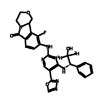 [2H]C([2H])(O)[C@@H](Nc1nc(Nc2ccc3c(c2F)C2COCCN2C3=O)ncc1-c1nnco1)c1ccccc1